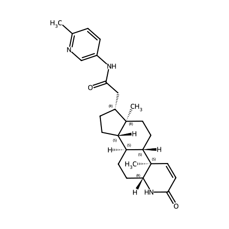 Cc1ccc(NC(=O)C[C@H]2CC[C@H]3[C@@H]4CC[C@H]5NC(=O)C=C[C@]5(C)[C@H]4CC[C@]23C)cn1